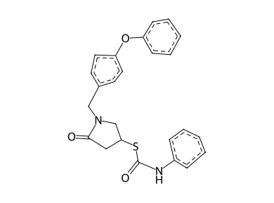 O=C(Nc1ccccc1)SC1CC(=O)N(Cc2ccc(Oc3ccccc3)cc2)C1